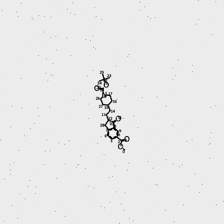 COC(=O)c1ccc2c(c1)C(=O)C(CCC1CCN(C(=O)OC(C)(C)C)CC1)C2